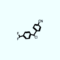 N#Cc1ccc(C(Cl)c2ccc(C(F)F)cc2)cc1